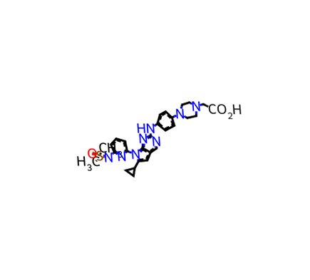 CS(C)(=O)=Nc1cccc(-n2c(C3CC3)cc3cnc(Nc4ccc(N5CCN(CC(=O)O)CC5)cc4)nc32)n1